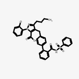 CCCCc1nn(-c2ccccc2Cl)c(C(=O)O)c1Cc1ccc(-c2ccccc2C(=O)NS(=O)(=O)c2ccccc2)cc1